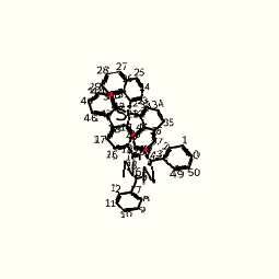 c1ccc(-c2nc(-c3ccccc3)nc(-c3ccc4c(c3)[Si](c3cccc5ccccc35)(c3cccc5ccccc35)c3ccccc3-4)n2)cc1